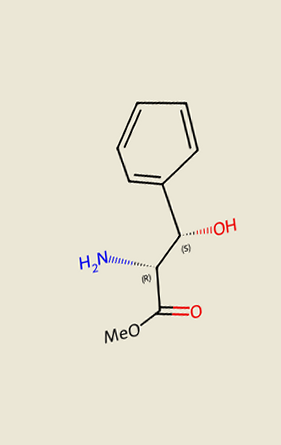 COC(=O)[C@H](N)[C@@H](O)c1ccccc1